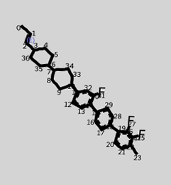 C/C=C/C1CCC(C2CCC(c3ccc(-c4ccc(-c5ccc(C)c(F)c5F)cc4)c(F)c3)CC2)CC1